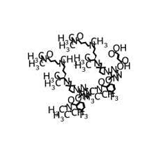 CCN(C(=O)c1cc(F)ccc1Oc1nncnc1N1CCC2(C1)CN([C@H](CCCN(C)CCCC(=O)N(C)C)C(C)C)C2)C(C)C.CCN(C(=O)c1cc(F)ccc1Oc1nncnc1N1CCC2(C1)CN([C@H](CCCN(C)CCCC(=O)N(C)C)C(C)C)C2)C(C)C.O=C(O)/C=C/C(=O)O